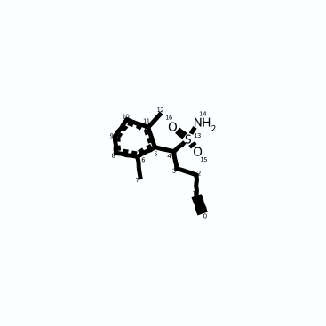 C#CCCC(c1c(C)cccc1C)S(N)(=O)=O